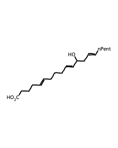 CCCCCC=CCC(O)C=CCCCC=CCCCC(=O)O